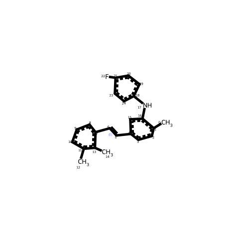 Cc1ccc(/C=C/c2cccc(C)c2C)cc1Nc1ccc(F)cc1